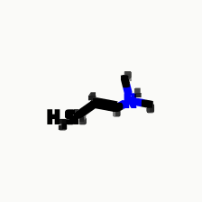 CN(C)C=C[SiH3]